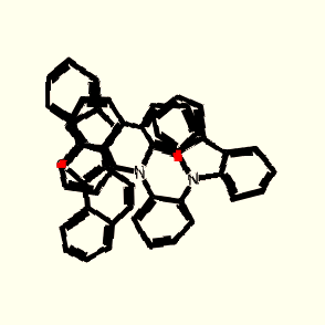 c1ccc(N(c2ccccc2-n2c3ccccc3c3ccccc32)c2cccc3c2sc2ccccc23)c(-c2cccc3oc4c5ccccc5ccc4c23)c1